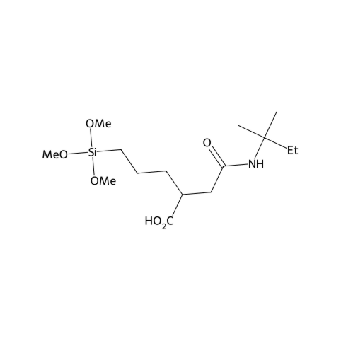 CCC(C)(C)NC(=O)CC(CCC[Si](OC)(OC)OC)C(=O)O